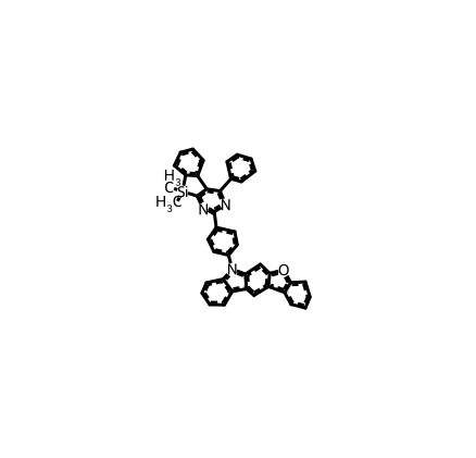 C[Si]1(C)c2ccccc2-c2c(-c3ccccc3)nc(-c3ccc(-n4c5ccccc5c5cc6c(cc54)oc4ccccc46)cc3)nc21